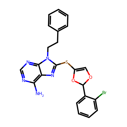 Nc1ncnc2c1nc(SC1=COC(c3ccccc3Br)O1)n2CCc1ccccc1